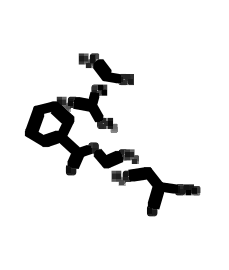 C=C(C)C#N.C=CC#N.C=CC(=O)OC.C=COC(=O)c1ccccc1